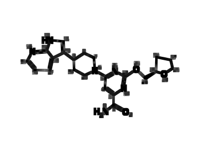 NC(=O)c1cc(N2CCC(c3c[nH]c4ncccc34)CC2)nc(OC[C@H]2CCCO2)n1